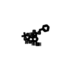 CC1(C)O[C@H]2O[C@@H]3[C@H]([C@H]2O1)N(C(=O)OCc1ccccc1)C[C@H]3O